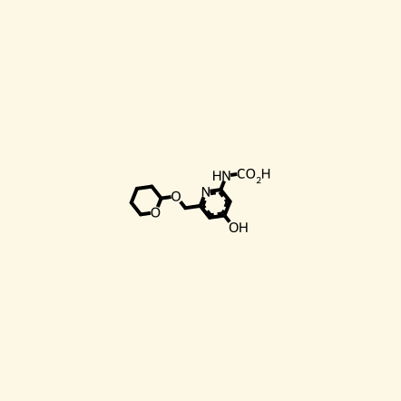 O=C(O)Nc1cc(O)cc(COC2CCCCO2)n1